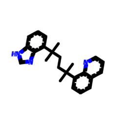 CC(C)(CCC(C)(C)c1cccc2[nH]cnc12)c1cccc2cccnc12